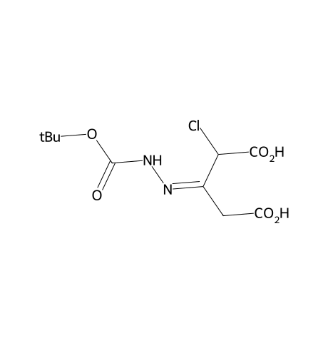 CC(C)(C)OC(=O)NN=C(CC(=O)O)C(Cl)C(=O)O